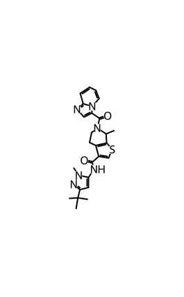 CC1c2scc(C(=O)Nc3cc(C(C)(C)C)nn3C)c2CCN1C(=O)c1cnc2ccccn12